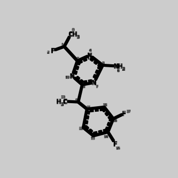 CC(F)c1nc(N)nc(C(C)c2ccc(F)c(F)c2)n1